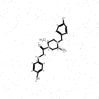 C[C@@H]1CN(Cc2ccc(F)cc2)[C@@H](C)CN1C(=O)COc1ccc(S)cc1